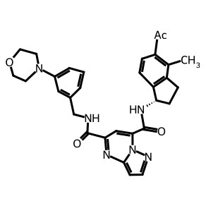 CC(=O)c1ccc2c(c1C)CC[C@@H]2NC(=O)c1cc(C(=O)NCc2cccc(N3CCOCC3)c2)nc2ccnn12